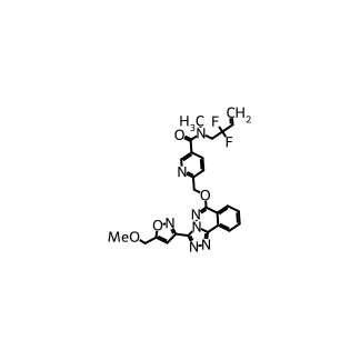 C=CC(F)(F)CN(C)C(=O)c1ccc(COc2nn3c(-c4cc(COC)on4)nnc3c3ccccc23)nc1